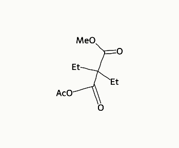 CCC(CC)(C(=O)OC)C(=O)OC(C)=O